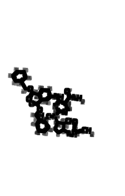 C=CC(=O)NC1CC[C@@H](N(C)c2nnc(C(N)=O)c(Nc3ccc(C(=O)OCc4ccccc4)c(C(=O)OCc4ccccc4)c3)n2)[C@H]1C